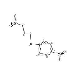 C[SiH](C)CCCOc1ccc([SiH](C)C)cc1